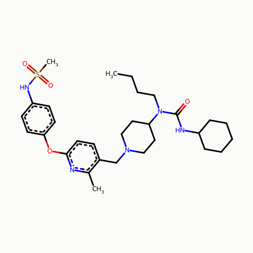 CCCCN(C(=O)NC1CCCCC1)C1CCN(Cc2ccc(Oc3ccc(NS(C)(=O)=O)cc3)nc2C)CC1